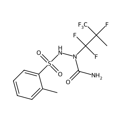 Cc1ccccc1S(=O)(=O)NN(C(N)=O)C(F)(F)C(C)(F)C(F)(F)F